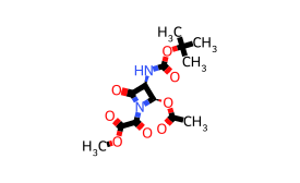 COC(=O)C(=O)N1C(=O)[C@@H](NC(=O)OC(C)(C)C)[C@@H]1OC(C)=O